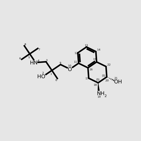 CC(O)(CNC(C)(C)C)COc1cccc2c1C[C@H](N)[C@@H](O)C2